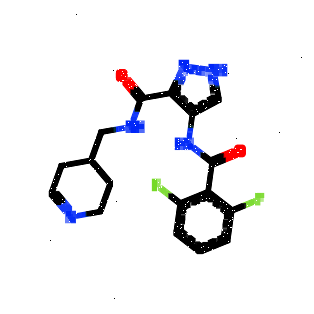 O=C(NCC1CC=NCC1)c1n[nH]cc1NC(=O)c1c(F)cccc1F